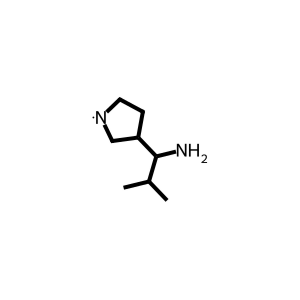 CC(C)C(N)C1CC[N]C1